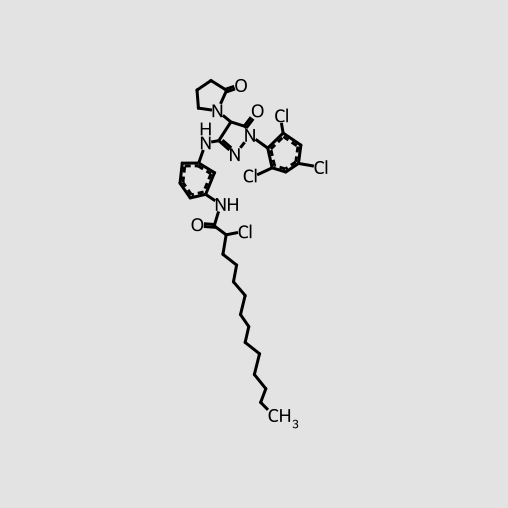 CCCCCCCCCCCCC(Cl)C(=O)Nc1cccc(NC2=NN(c3c(Cl)cc(Cl)cc3Cl)C(=O)C2N2CCCC2=O)c1